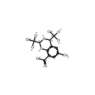 Cc1cc(C(=O)Cl)c2c(c1)C(C(Cl)(Cl)Cl)OC(C(Cl)(Cl)Cl)O2